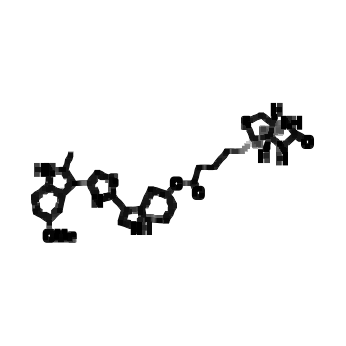 COc1ccc2[nH]c(C)c(-c3csc(-c4c[nH]c5ccc(OC(=O)CCCC[C@@H]6SC[C@@H]7NC(=O)N[C@@H]76)cc45)n3)c2c1